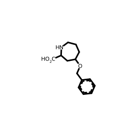 O=C(O)C1CC(OCc2ccccc2)CCCN1